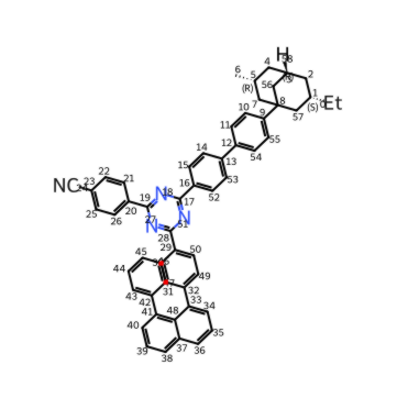 CC[C@H]1C[C@H]2C[C@@H](C)CC(c3ccc(-c4ccc(-c5nc(-c6ccc(C#N)cc6)nc(-c6ccc(-c7cccc8cccc(-c9ccccc9)c78)cc6)n5)cc4)cc3)(C2)C1